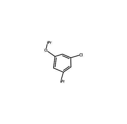 CC(C)Oc1cc(Cl)cc(C(C)C)c1